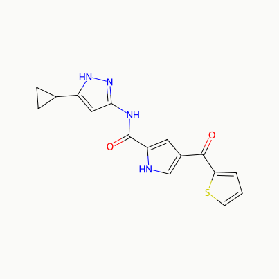 O=C(Nc1cc(C2CC2)[nH]n1)c1cc(C(=O)c2cccs2)c[nH]1